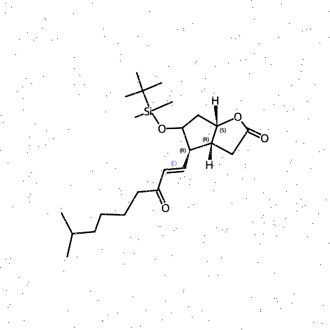 CC(C)CCCCC(=O)/C=C/[C@H]1C(O[Si](C)(C)C(C)(C)C)C[C@@H]2OC(=O)C[C@@H]21